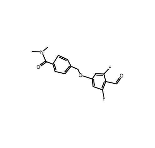 CN(C)C(=O)c1ccc(COc2cc(F)c(C=O)c(F)c2)cc1